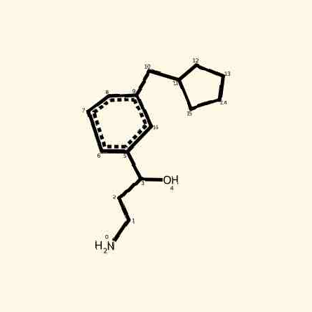 NCCC(O)c1cccc(CC2CCCC2)c1